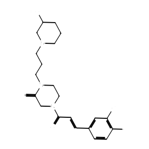 O=C(/C=C/c1ccc(Cl)c(Cl)c1)N1CCN(CCCN2CCCC(O)C2)C(=O)C1